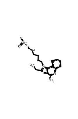 CCc1nc2c(N)nc3ccccc3c2n1CCCCNCO[SH](=O)=O